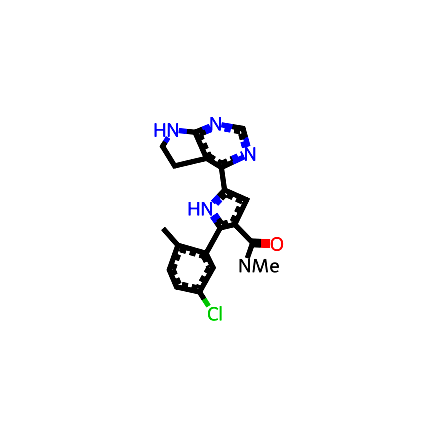 CNC(=O)c1cc(-c2ncnc3c2CCN3)[nH]c1-c1cc(Cl)ccc1C